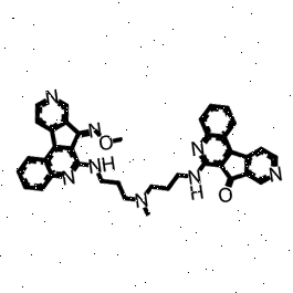 CON=C1c2cnccc2-c2c1c(NCCCN(C)CCCNc1nc3ccccc3c3c1C(=O)c1cnccc1-3)nc1ccccc21